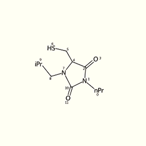 CCCN1C(=O)C(CS)N(CC(C)C)C1=O